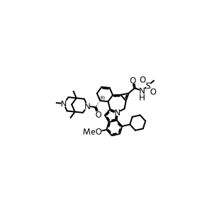 COc1ccc(C2CCCCC2)c2c1cc1n2CC2=C(C(=O)NS(C)(=O)=O)C2=C2C=CC[C@@H](C(=O)N3CC4(C)CN(C)CC(C)(C3)C4)C21